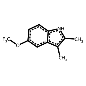 Cc1[nH]c2ccc(OC(F)(F)F)cc2c1C